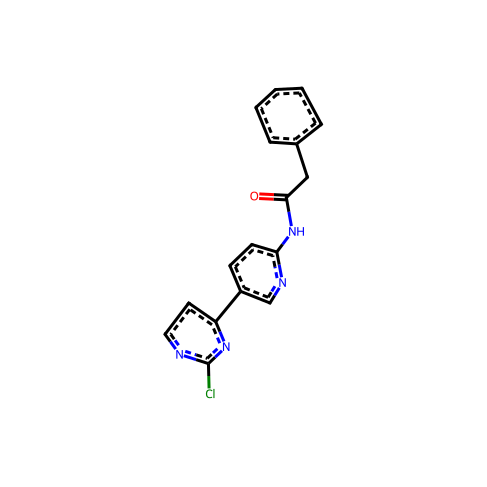 O=C(Cc1ccccc1)Nc1ccc(-c2ccnc(Cl)n2)cn1